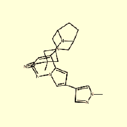 Cn1cc(-c2cc3c(N4CC5CCC(C4)N5C4CC(C)(C#N)C4)ccnn3c2)cn1